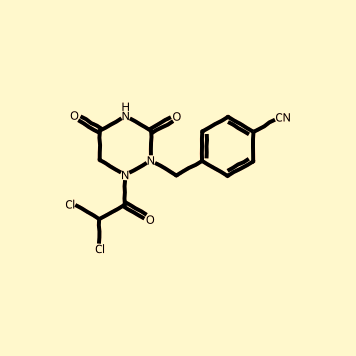 N#Cc1ccc(CN2C(=O)NC(=O)CN2C(=O)C(Cl)Cl)cc1